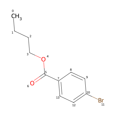 CCCCOC(=O)c1ccc(Br)cc1